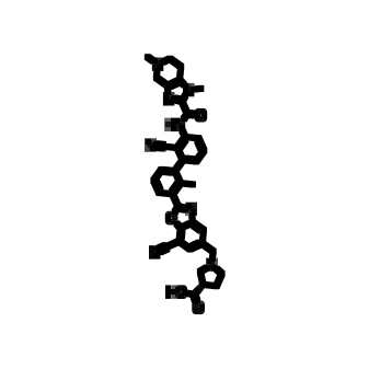 Cc1c(-c2nc3cc(CN4CC[C@@H](C(=O)O)C4)cc(C#N)c3o2)cccc1-c1cccc(NC(=O)c2nc3c(n2C)CCN(C)C3)c1C#N